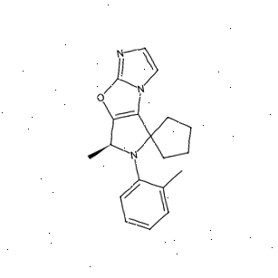 Cc1ccccc1N1[C@@H](C)c2oc3nccn3c2C12CCCC2